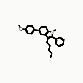 CCCCCc1c(-c2ccccc2)n(C)c2ccc(-c3ccc(OC)cc3)cc12